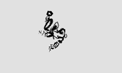 CC(C)(C=C(C#N)C(=O)N1CCC[C@@H](n2c(=O)n(-c3ccc(Oc4ccccc4)cc3)c3c(N)nccc32)C1)N1CCN(CC(F)(F)F)CC1